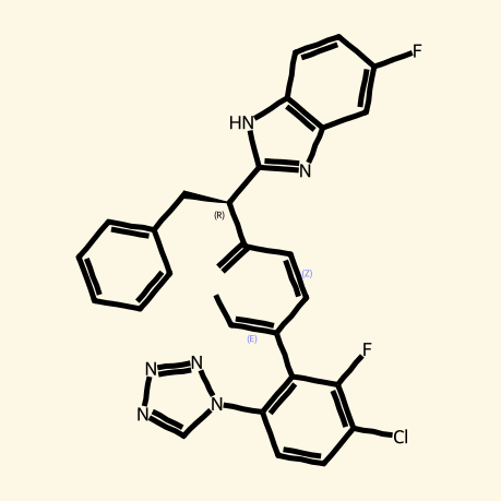 C=C(/C=C\C(=C/C)c1c(-n2cnnn2)ccc(Cl)c1F)[C@@H](Cc1ccccc1)c1nc2cc(F)ccc2[nH]1